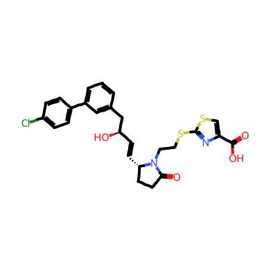 O=C(O)c1csc(SCCN2C(=O)CC[C@@H]2/C=C/[C@@H](O)Cc2cccc(-c3ccc(Cl)cc3)c2)n1